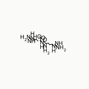 N=C(N)NCCC[C@@H](N)C(=O)N[C@H](CCCNC(=N)N)C(=O)O